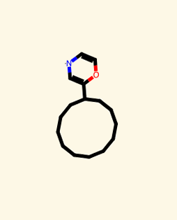 C1=COC(C2CCCCCCCCCCC2)=C[N]1